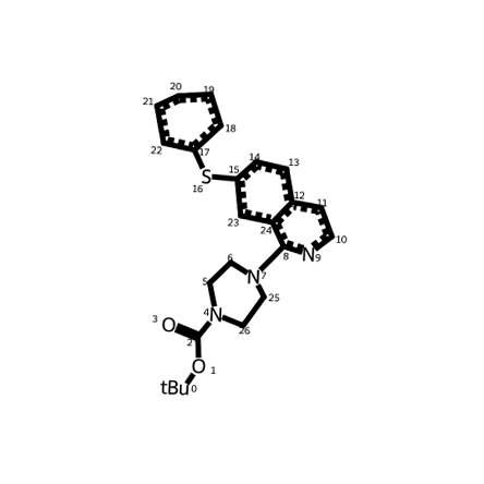 CC(C)(C)OC(=O)N1CCN(c2nccc3ccc(Sc4ccccc4)cc23)CC1